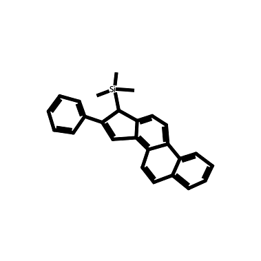 C[Si](C)(C)C1C(c2ccccc2)=Cc2c1ccc1c2ccc2ccccc21